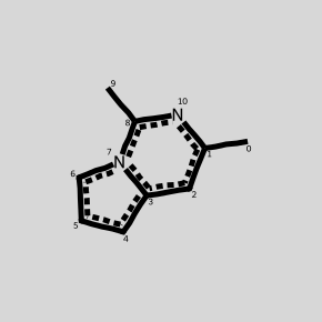 Cc1cc2cc[c]n2c(C)n1